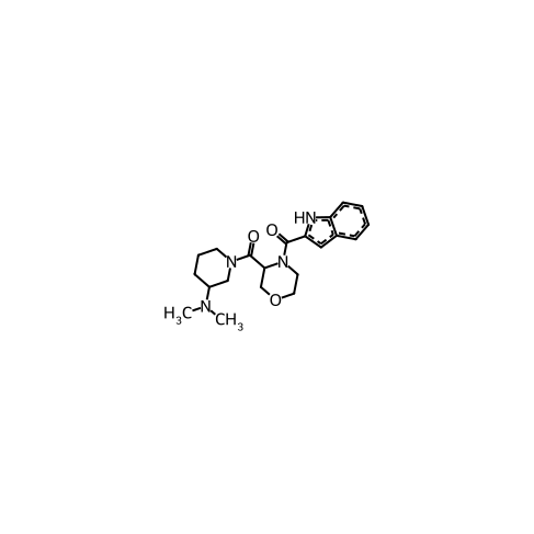 CN(C)C1CCCN(C(=O)C2COCCN2C(=O)c2cc3ccccc3[nH]2)C1